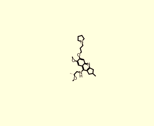 COc1cc2c(NC[C@@H](C)OC)c3c(nc2cc1OCCCN1CCCC1)CC(C)C3